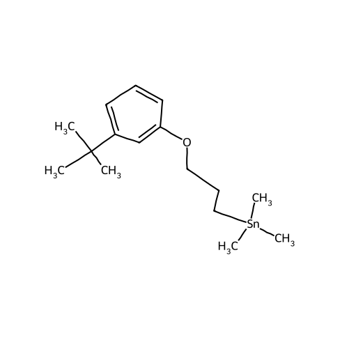 CC(C)(C)c1cccc(OCC[CH2][Sn]([CH3])([CH3])[CH3])c1